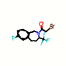 O=C(CBr)N1Cc2ccc(F)cc2CCC1C(F)(F)F